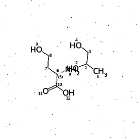 CC(O)CO.N[C@@H](CCO)C(=O)O